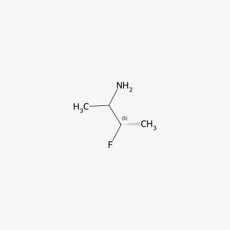 CC(N)[C@H](C)F